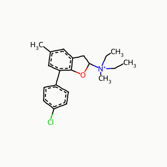 CC[N+](C)(CC)C1Cc2cc(C)cc(-c3ccc(Cl)cc3)c2O1